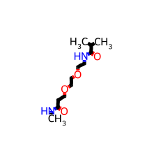 CNC(=O)CCOCCOCCNC(=O)C(C)C